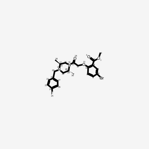 COC(=O)c1cc(Br)ccc1OCC(=O)N1C[C@H](C)N(Cc2ccc(F)cc2)C[C@H]1C